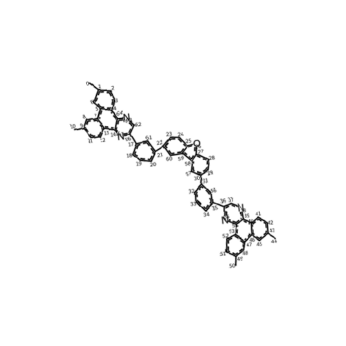 Cc1ccc2c(c1)c1cc(C)ccc1c1nc(-c3cccc(-c4ccc5oc6ccc(-c7cccc(-c8cnc9c%10ccc(C)cc%10c%10cc(C)ccc%10c9n8)c7)cc6c5c4)c3)cnc21